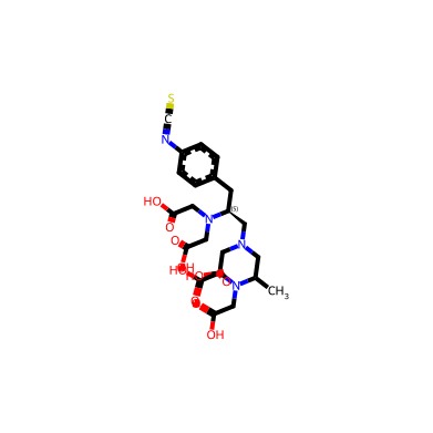 CC(CN(CC(=O)O)C[C@H](Cc1ccc(N=C=S)cc1)N(CC(=O)O)CC(=O)O)N(CC(=O)O)CC(=O)O